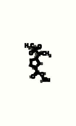 CN(C1CCN(C(=O)OC(C)(C)C)C1)S(C)(=O)=O